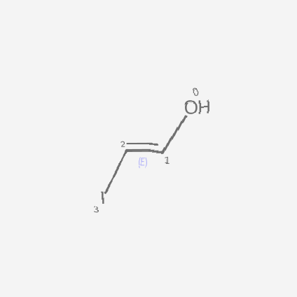 O/C=C/I